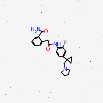 NC(=O)c1ccccc1[CH]C(=O)Nc1ccc(C2(CN3CCCC3)CC2)cc1F